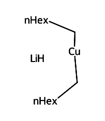 CCCCCC[CH2][Cu][CH2]CCCCCC.[LiH]